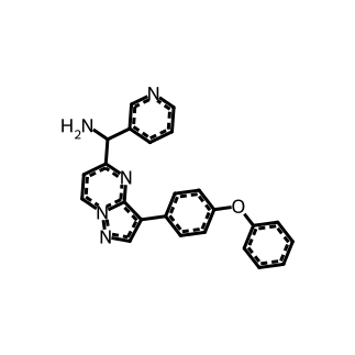 NC(c1cccnc1)c1ccn2ncc(-c3ccc(Oc4ccccc4)cc3)c2n1